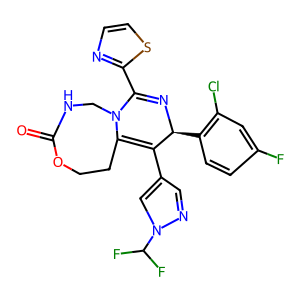 O=C1NCN2C(c3nccs3)=N[C@@H](c3ccc(F)cc3Cl)C(c3cnn(C(F)F)c3)=C2CCO1